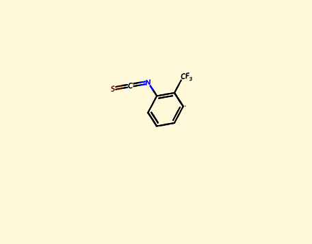 FC(F)(F)c1[c]cccc1N=C=S